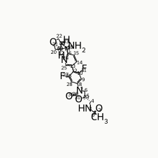 CC(=O)NC[C@H]1CN(c2cc(F)c(-c3ccc([C@@]4(N)[C@@H]5COC[C@@H]54)nc3)c(F)c2)C(=O)O1